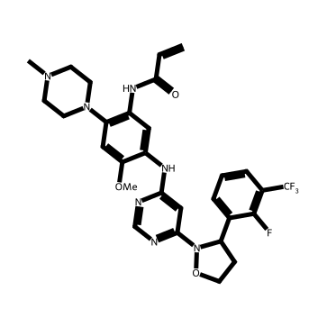 C=CC(=O)Nc1cc(Nc2cc(N3OCCC3c3cccc(C(F)(F)F)c3F)ncn2)c(OC)cc1N1CCN(C)CC1